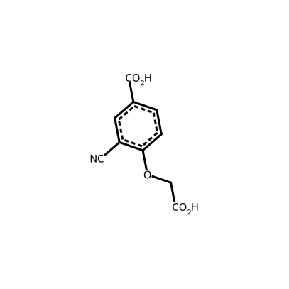 N#Cc1cc(C(=O)O)ccc1OCC(=O)O